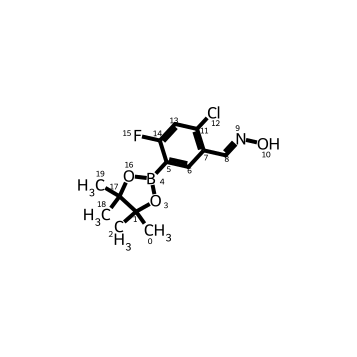 CC1(C)OB(c2cc(/C=N/O)c(Cl)cc2F)OC1(C)C